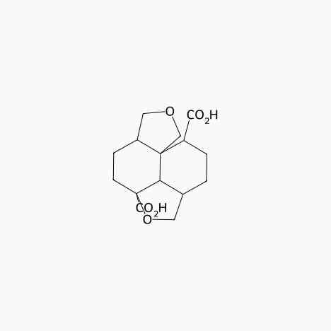 O=C(O)C1CCC2COC3(C(=O)O)CCC4COCC41C23